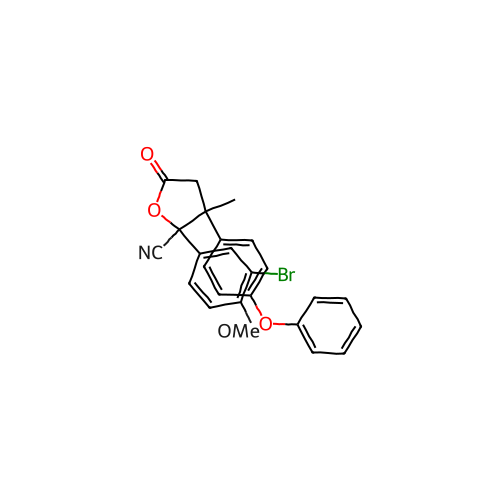 COc1ccc(C2(C#N)OC(=O)CC2(C)c2ccc(Oc3ccccc3)cc2)cc1Br